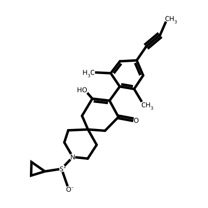 CC#Cc1cc(C)c(C2=C(O)CC3(CCN([S+]([O-])C4CC4)CC3)CC2=O)c(C)c1